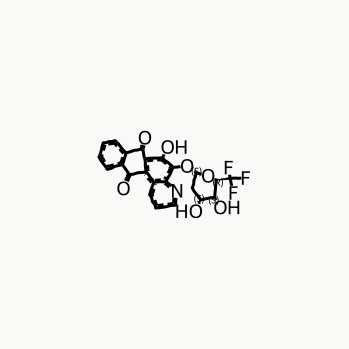 O=C1c2ccccc2C(=O)c2c1c(O)c(O[C@H]1C[C@H](O)[C@H](O)[C@H](C(F)(F)F)O1)c1ncccc21